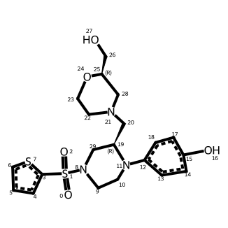 O=S(=O)(c1cccs1)N1CCN(c2ccc(O)cc2)[C@H](CN2CCO[C@@H](CO)C2)C1